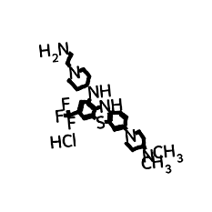 CN(C)C1CCN(c2ccc3c(c2)Sc2cc(C(F)(F)F)cc(NC4CCN(CCN)CC4)c2N3)CC1.Cl